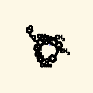 C=CC1=C2/C=C(\C)Oc3c(OC)c(OC)c(COCC4CCOC4)c4c3[C@H](Cc3ccc(OC)c(c3)Oc3ccc(cc3)C[C@@H]2N(C)CC1)N(C)CC4